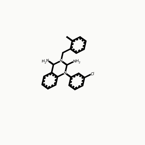 Cc1ccccc1CN1C(N)c2ccccc2N(c2cccc(Cl)c2)C1N